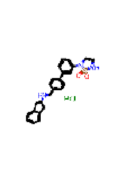 Cl.O=S1(=O)NCCN1c1cccc(-c2ccc(CNC3Cc4ccccc4C3)cc2)c1